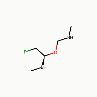 CBCO[C@@H](BC)CF